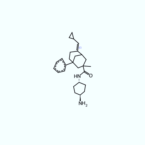 CC1(C(=O)N[C@H]2CC[C@H](N)CC2)CC2CC(c3ccccc3)(CC/C2=C\C2CC2)C1